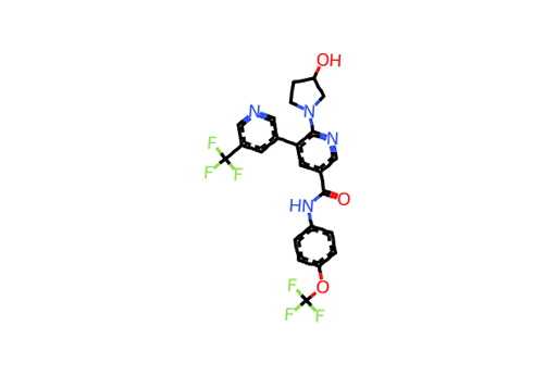 O=C(Nc1ccc(OC(F)(F)F)cc1)c1cnc(N2CCC(O)C2)c(-c2cncc(C(F)(F)F)c2)c1